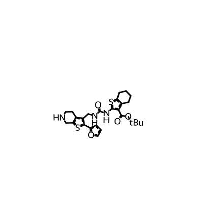 CC(C)(C)OC(=O)c1c(NC(=O)NCc2c(-c3ccco3)sc3c2CCNC3)sc2c1CCCC2